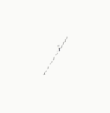 CCCCCCCC/C(=C/NCCOCCOCCOCCOCCC(C)=O)N=N